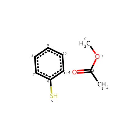 COC(C)=O.Sc1ccccc1